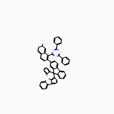 CC1C=c2c(-c3nc(-c4ccccc4)nc(-c4ccccc4)n3)c(-c3ccc4c(c3)C3(c5ccccc5-4)c4ccccc4-n4c5ccccc5c5cccc3c54)ccc2=CC1